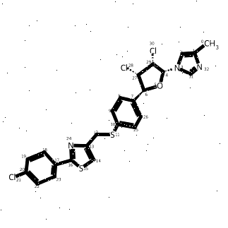 Cc1cn([C@@H]2O[C@@H](c3ccc(SCc4csc(-c5ccc(Cl)cc5)n4)cc3)[C@H](Cl)[C@@H]2Cl)cn1